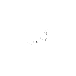 CCOS[C@H]1C=NN(C)C1